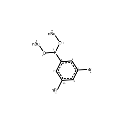 CCCCOP(OCCCC)c1cc(Br)cc(CCC)c1